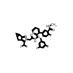 CNC(=O)c1cc(-c2cccnc2[C@H](Cc2cc(F)cc(F)c2)NC(=O)Cn2nc3c(c2C(F)F)CC2CC32)ccc1F